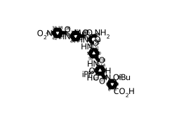 CCC(C)Oc1cc(C(=O)O)ccc1NC(=O)c1ccc(NC(=O)c2ccc(NC(=O)C(NC(=O)c3ccc(NC(=O)c4ccc([N+](=O)[O-])cc4)cc3)C(OC)C(N)=O)cc2)c(OC(C)C)c1O